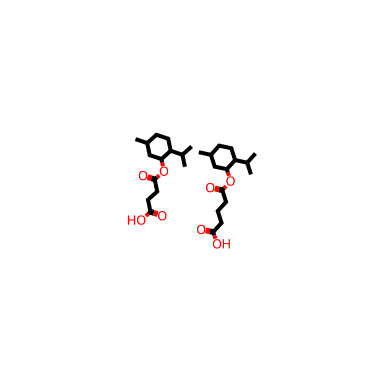 CC1CCC(C(C)C)C(OC(=O)CCC(=O)O)C1.CC1CCC(C(C)C)C(OC(=O)CCCC(=O)O)C1